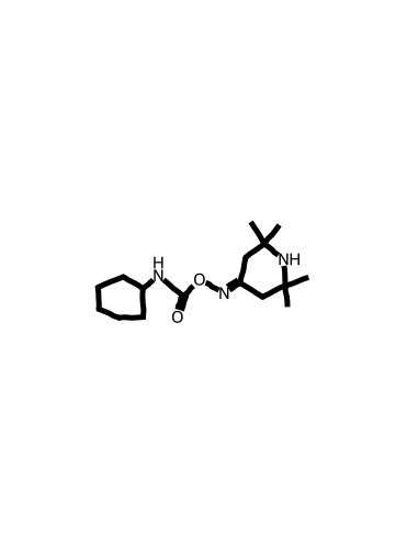 CC1(C)CC(=NOC(=O)NC2CCCCC2)CC(C)(C)N1